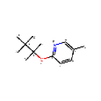 Cc1ccc(OC(C)(C)C(C)(C)C)nc1